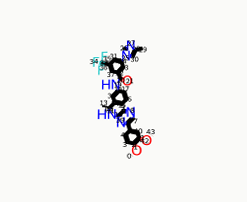 COc1ccc(-c2cncc(N[C@@H](C)c3cccc(NC(=O)c4cc(-n5cnc(C)c5)cc(C(F)(F)F)c4)c3)n2)cc1OC